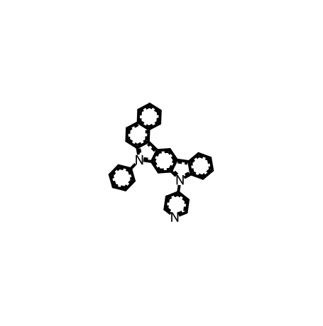 c1ccc(-n2c3cc4c(cc3c3c5ccccc5ccc32)c2ccccc2n4-c2ccncc2)cc1